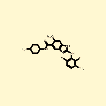 COc1cc2[nH]c(Nc3c(Cl)ccc(C)c3F)nc2cc1C(=O)NC1CCC(C(F)(F)F)CC1